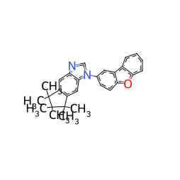 CC1(C)c2cc3ncn(-c4ccc5oc6ccccc6c5c4)c3cc2C(C)(C)C1(C)C